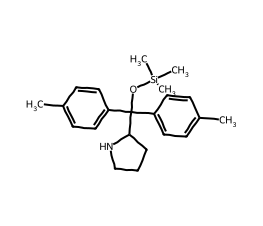 Cc1ccc(C(O[Si](C)(C)C)(c2ccc(C)cc2)C2CCCN2)cc1